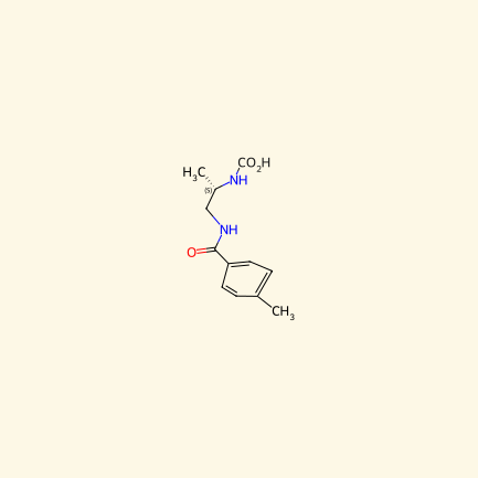 Cc1ccc(C(=O)NC[C@H](C)NC(=O)O)cc1